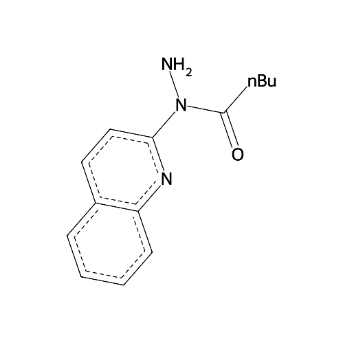 CCCCC(=O)N(N)c1ccc2ccccc2n1